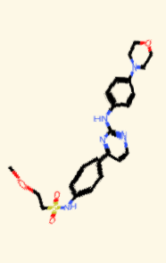 COCCS(=O)(=O)Nc1ccc(-c2ccnc(Nc3ccc(N4CCOCC4)cc3)n2)cc1